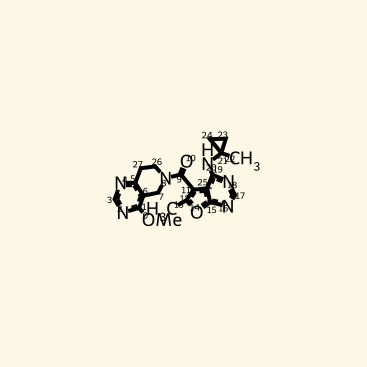 COc1ncnc2c1CN(C(=O)c1c(C)oc3ncnc(NC4(C)CC4)c13)CC2